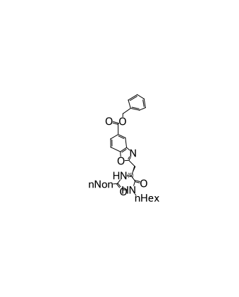 CCCCCCCCCC(=O)N[C@@H](Cc1nc2cc(C(=O)OCc3ccccc3)ccc2o1)C(=O)NCCCCCC